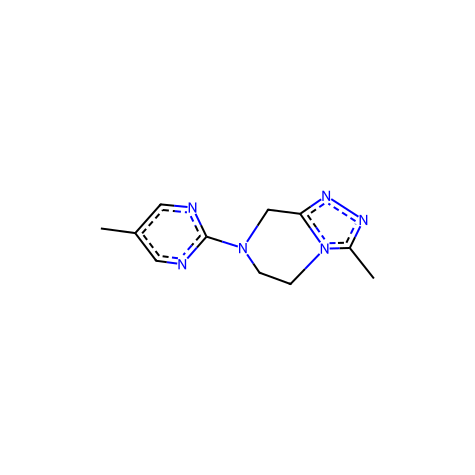 Cc1cnc(N2CCn3c(C)nnc3C2)nc1